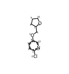 Clc1ccc(OCC2CCCO2)cn1